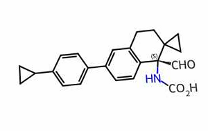 O=C[C@@]1(NC(=O)O)c2ccc(-c3ccc(C4CC4)cc3)cc2CCC12CC2